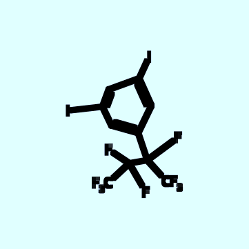 FC(F)(F)C(F)(F)C(F)(c1cc(I)cc(I)c1)C(F)(F)F